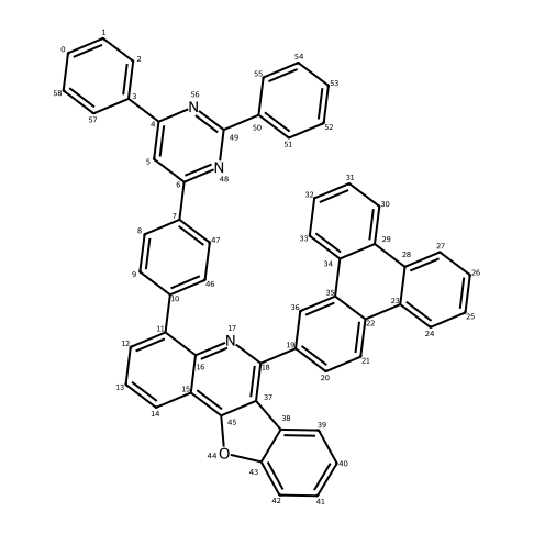 c1ccc(-c2cc(-c3ccc(-c4cccc5c4nc(-c4ccc6c7ccccc7c7ccccc7c6c4)c4c6ccccc6oc54)cc3)nc(-c3ccccc3)n2)cc1